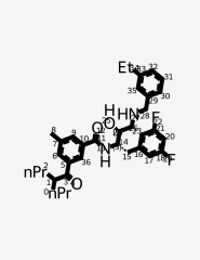 CCCC(CCC)C(=O)c1cc(C)cc(C(=O)N[C@@H](Cc2cc(F)cc(F)c2)[C@@H](O)CNCc2cccc(CC)c2)c1